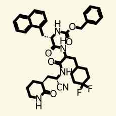 N#C[C@H](C[C@@H]1CCCNC1=O)NC(=O)C(CC1CCC(F)(F)CC1)NC(=O)[C@H](Cc1cccc2ccccc12)NC(=O)OCc1ccccc1